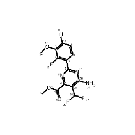 COC(=O)c1nc(-c2ccc(Cl)c(OC)c2F)nc(N)c1C(F)F